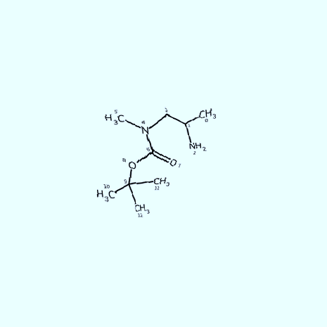 CC(N)CN(C)C(=O)OC(C)(C)C